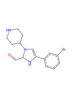 O=CC1NC(c2cccc(Br)c2)=CN1C1CCNCC1